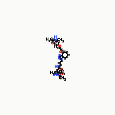 CC(=O)NC(C)(C)CCOCCOC1CCCCCc2c1nnn2CCCNC(=O)CC(C)(C)NC(C)=O